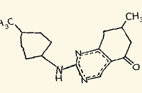 CC1CCC(Nc2ncc3c(n2)CC(C)CC3=O)CC1